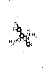 CCOc1cc(-c2ccc(C#N)c(F)c2)cc2c(NC)nc(-c3cccnc3)nc12